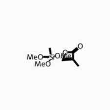 CC1=COC1=O.CO[Si](C)(OC)OC